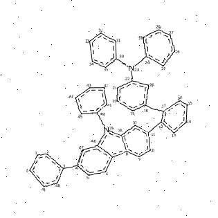 c1ccc(-c2ccc3c4ccc(-c5ccccc5-c5cccc(N(c6ccccc6)c6ccccc6)c5)cc4n(-c4ccccc4)c3c2)cc1